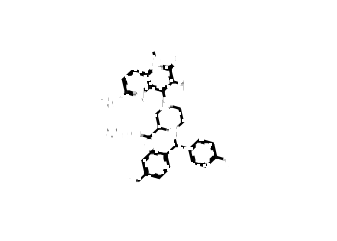 COC(=O)C1CN(c2c(F)c(=O)n(C)c3ccc(C#N)nc23)CCN1C(c1ccc(Cl)cc1)c1ccc(Cl)cc1